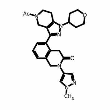 CC(=O)N1CCc2c(c(-c3cccc4c3CC(=O)N(c3cnn(C)c3)C4)nn2C2CCOCC2)C1